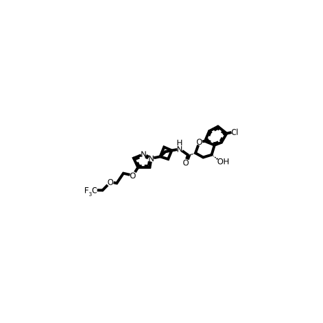 O=C(NC12CC(n3cc(OCCOCC(F)(F)F)cn3)(C1)C2)[C@H]1C[C@@H](O)c2cc(Cl)ccc2O1